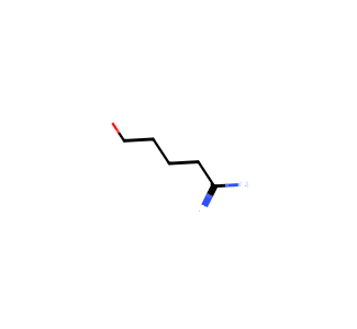 N=C(N)CCCCO